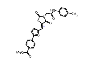 COC(=O)c1ccc(-c2ccc(/C=C3\SC(=O)N(CC(=O)Nc4ccc(C)cc4)C3=O)o2)cc1